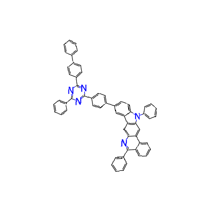 c1ccc(-c2ccc(-c3nc(-c4ccccc4)nc(-c4ccc(-c5ccc6c(c5)c5cc7nc(-c8ccccc8)c8ccccc8c7cc5n6-c5ccccc5)cc4)n3)cc2)cc1